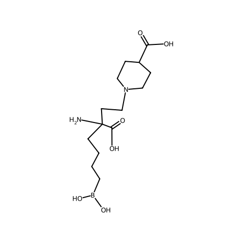 NC(CCCCB(O)O)(CCN1CCC(C(=O)O)CC1)C(=O)O